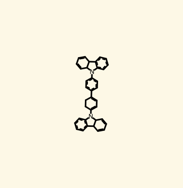 C1=CC2c3ccccc3N(C3=CC=C(c4ccc(N5c6ccccc6C6C=CC=CC65)cc4)CC3)C2C=C1